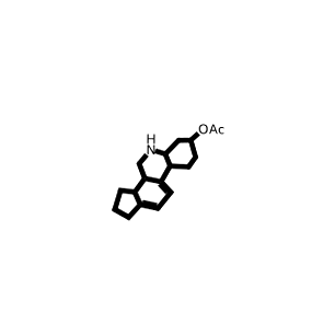 CC(=O)OC1CCC2C3=CC=C4CCCC4C3CNC2C1